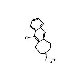 CCOC(=O)N1CCc2nc3ccccc3c(Cl)c2CC1